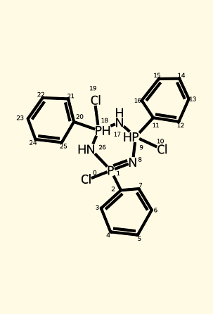 ClP1(c2ccccc2)=N[PH](Cl)(c2ccccc2)N[PH](Cl)(c2ccccc2)N1